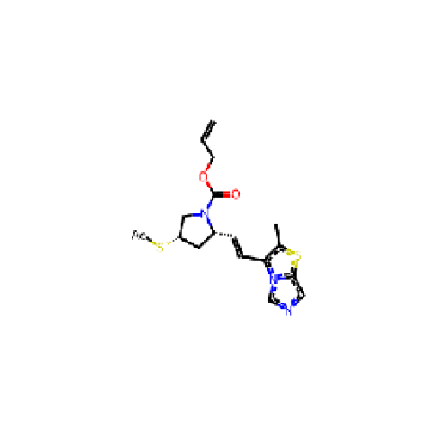 C=CCOC(=O)N1C[C@@H](SC(C)=O)C[C@H]1C=Cc1c(C)sc2cncn12